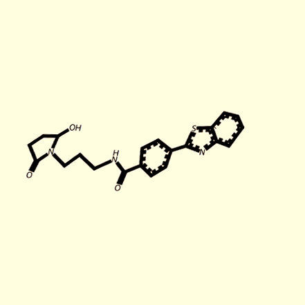 O=C(NCCCN1C(=O)CCC1O)c1ccc(-c2nc3ccccc3s2)cc1